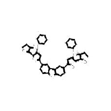 c1ccc(-n2c3ccsc3c3sc(-c4ccc5sc6ccc(-c7cc8c(s7)c7sccc7n8-c7ccccc7)cc6c5c4)cc32)cc1